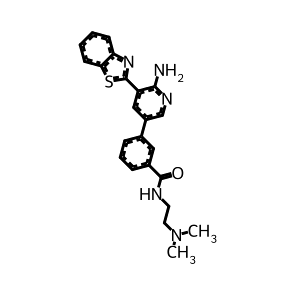 CN(C)CCNC(=O)c1cccc(-c2cnc(N)c(-c3nc4ccccc4s3)c2)c1